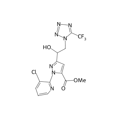 COC(=O)c1cc(C(O)Cn2nnnc2C(F)(F)F)nn1-c1ncccc1Cl